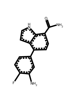 NC(=O)c1ccc(-c2ccc(F)c(N)c2)c2cc[nH]c12